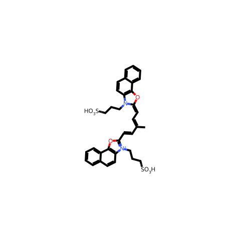 CC(C=Cc1oc2c3ccccc3ccc2[n+]1CCCS(=O)(=O)O)=CC=C1Oc2c(ccc3ccccc23)N1CCCS(=O)(=O)O